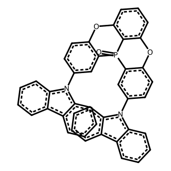 O=P12c3cc(-n4c5ccccc5c5ccccc54)ccc3Oc3cccc(c31)Oc1ccc(-n3c4ccccc4c4ccccc43)cc12